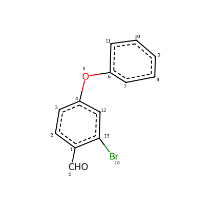 O=Cc1ccc(Oc2ccccc2)cc1Br